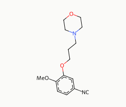 [C-]#[N+]c1ccc(OC)c(OCCCN2CCOCC2)c1